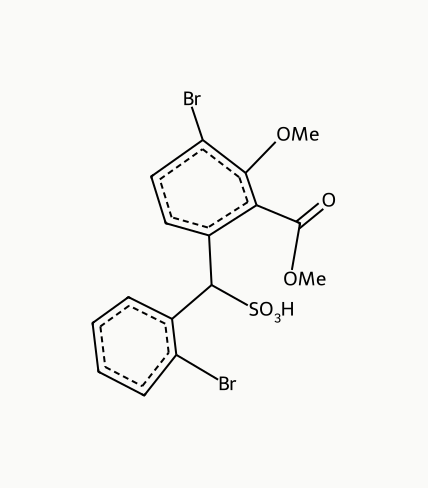 COC(=O)c1c(C(c2ccccc2Br)S(=O)(=O)O)ccc(Br)c1OC